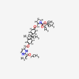 C=C(OCC)c1nccc(COc2ccc(C(C)(C)c3ccc(OCC4CCCN4C(=O)OC(C)(C)C)cc3)cc2)n1